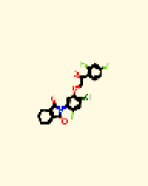 O=C(COc1cc(N2C(=O)C3=C(CCCC3)C2=O)c(F)cc1Cl)c1ccc(F)cc1F